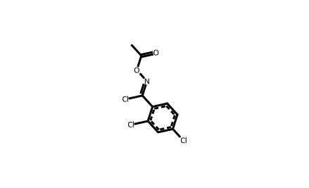 CC(=O)ON=C(Cl)c1ccc(Cl)cc1Cl